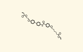 C=COC(=O)CCCCCOc1ccc(C(=O)Sc2ccc(-c3ccc(OCCOC(=O)C=C)cc3)cc2)cc1